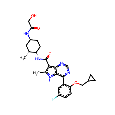 Cc1[nH]c2c(-c3cc(F)ccc3OCC3CC3)ncnc2c1C(=O)N[C@H]1CC[C@H](NC(=O)CO)C[C@H]1C